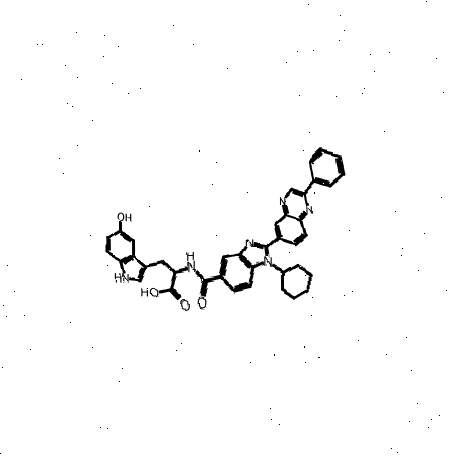 O=C(NC(Cc1c[nH]c2ccc(O)cc12)C(=O)O)c1ccc2c(c1)nc(-c1ccc3nc(-c4ccccc4)cnc3c1)n2C1CCCCC1